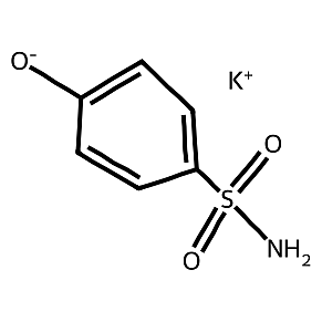 NS(=O)(=O)c1ccc([O-])cc1.[K+]